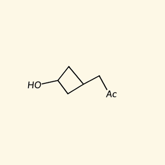 CC(=O)CC1CC(O)C1